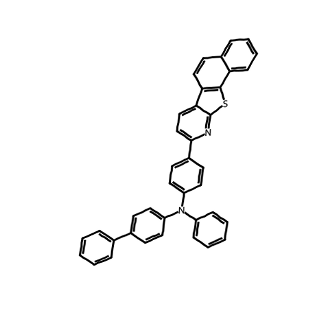 c1ccc(-c2ccc(N(c3ccccc3)c3ccc(-c4ccc5c(n4)sc4c6ccccc6ccc54)cc3)cc2)cc1